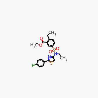 CCc1ccc(S(=O)(=O)N(CC)c2csc(-c3ccc(F)cc3)n2)cc1C(=O)OC